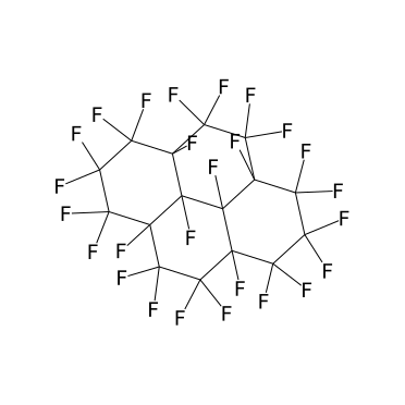 FC1(F)C(F)(F)C2(F)C(F)(F)C(F)(F)C3(F)C(F)(F)C(F)(F)C(F)(F)C4(F)C(F)(F)C(F)(F)C(F)(C1(F)F)C2(F)C34F